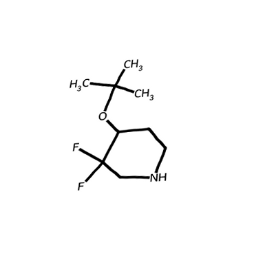 CC(C)(C)OC1CCNCC1(F)F